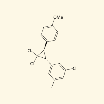 COc1ccc([C@H]2[C@H](c3cc(C)cc(Cl)c3)C2(Cl)Cl)cc1